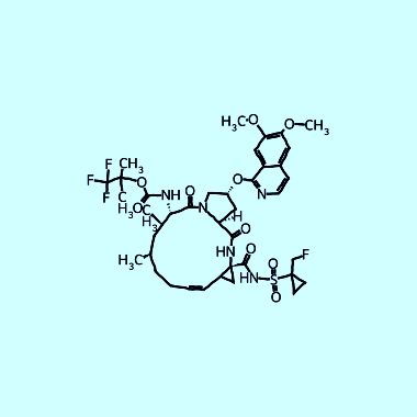 COc1cc2ccnc(O[C@@H]3C[C@H]4C(=O)N[C@]5(C(=O)NS(=O)(=O)C6(CF)CC6)CC5/C=C\CC[C@@H](C)C[C@@H](C)[C@H](NC(=O)OC(C)(C)C(F)(F)F)C(=O)N4C3)c2cc1OC